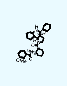 COc1ccccc1C(=O)N[C@@H]1CCCC[C@@H]1C(=O)N1CC[C@@H]2[C@H](c3ccccc3)Nc3ccccc3[C@@H]21